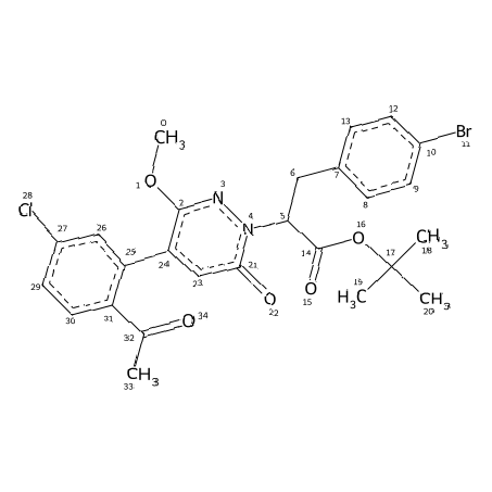 COc1nn(C(Cc2ccc(Br)cc2)C(=O)OC(C)(C)C)c(=O)cc1-c1cc(Cl)ccc1C(C)=O